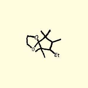 CCC1C(C)C(C)(C)C2(OCCO2)C1(C)C